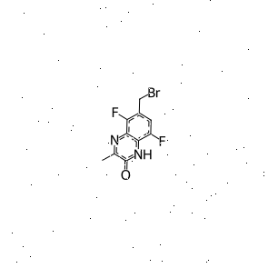 Cc1nc2c(F)c(CBr)cc(F)c2[nH]c1=O